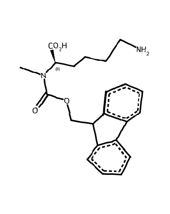 CN(C(=O)OCC1c2ccccc2-c2ccccc21)[C@H](CCCCN)C(=O)O